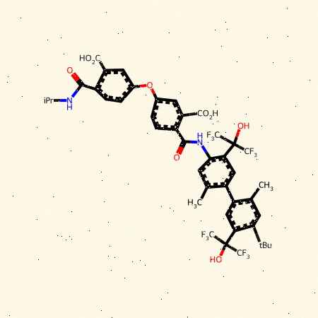 Cc1cc(NC(=O)c2ccc(Oc3ccc(C(=O)NC(C)C)c(C(=O)O)c3)cc2C(=O)O)c(C(O)(C(F)(F)F)C(F)(F)F)cc1-c1cc(C(O)(C(F)(F)F)C(F)(F)F)c(C(C)(C)C)cc1C